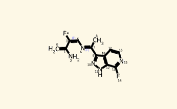 C=C(N)/C(F)=C\N=C(/C)c1n[nH]c2c(F)nccc12